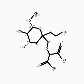 CCCC1(COC(C(=O)O)C(=O)O)C[C@H](O)C(O)[C@H](OC)O1